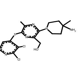 Cc1nc(N2CCC(C)(N)CC2)c(CO)nc1Sc1ccnc(Cl)c1Cl